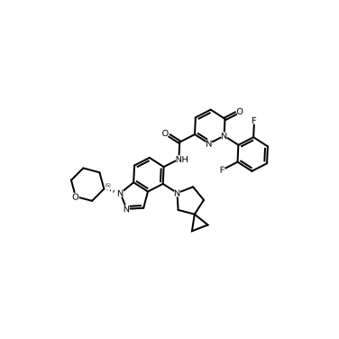 O=C(Nc1ccc2c(cnn2[C@H]2CCCOC2)c1N1CCC2(CC2)C1)c1ccc(=O)n(-c2c(F)cccc2F)n1